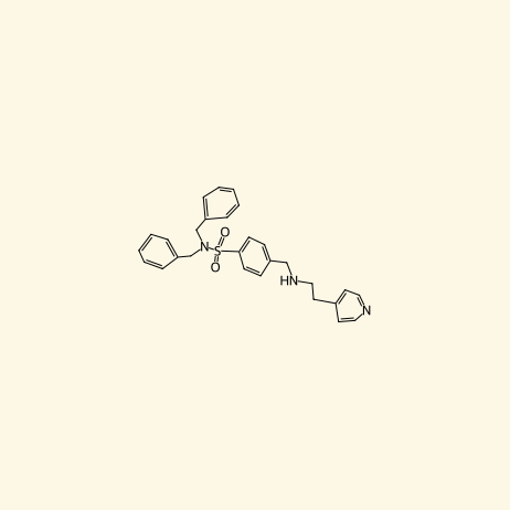 O=S(=O)(c1ccc(CNCCc2ccncc2)cc1)N(Cc1ccccc1)Cc1ccccc1